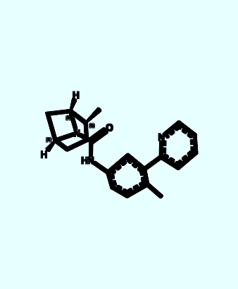 Cc1ccc(NC(=O)N2[C@@H]3CC[C@H](C)[C@H]2C3)cc1-c1ccccn1